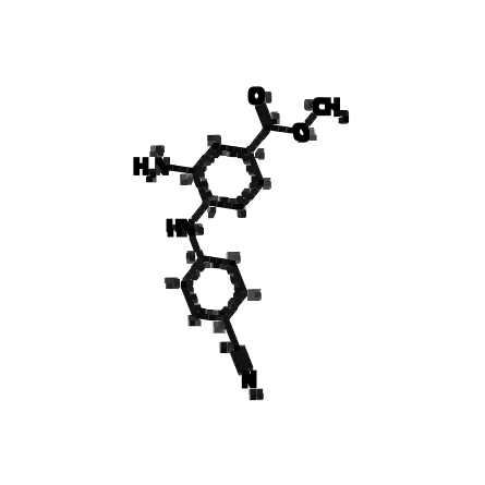 COC(=O)c1ccc(Nc2ccc(C#N)cc2)c(N)c1